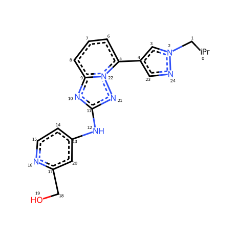 CC(C)Cn1cc(-c2cccc3nc(Nc4ccnc(CO)c4)nn23)cn1